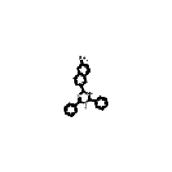 Bc1ccc2cc(C3N=C(c4ccccc4)NC(c4ccccc4)N3)ccc2c1